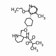 CCOc1nccc(C)c1[C@H]1CC[C@@H](OC[C@@H]2NCCC[C@@H]2NS(=O)(=O)C(C)C)CC1